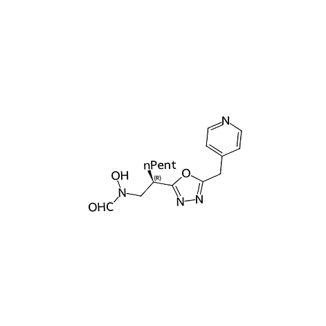 CCCCC[C@H](CN(O)C=O)c1nnc(Cc2ccncc2)o1